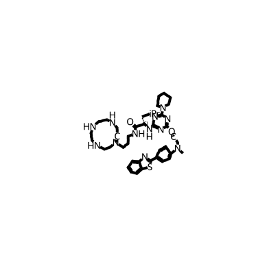 CC(C)C[C@H](Nc1nc(OCCN(C)c2ccc(-c3nc4ccccc4s3)cc2)nc(N2CCCCC2)n1)C(=O)NCCCN1CCNCCNCCNCC1